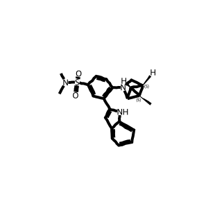 CN(C)S(=O)(=O)c1ccc(N2C[C@H]3[C@H]4C2[C@]43C)c(-c2cc3ccccc3[nH]2)c1